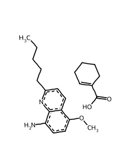 CCCCCc1ccc2c(OC)ccc(N)c2n1.O=C(O)C1=CCCCC1